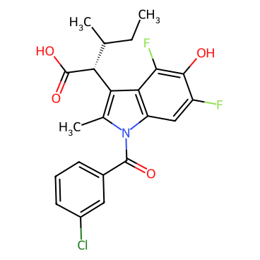 CCC(C)[C@@H](C(=O)O)c1c(C)n(C(=O)c2cccc(Cl)c2)c2cc(F)c(O)c(F)c12